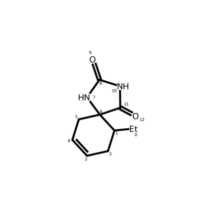 CCC1CC=CCC12NC(=O)NC2=O